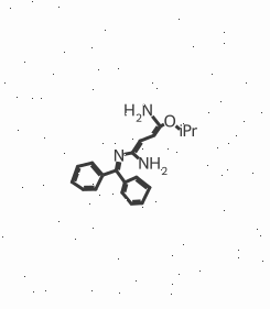 CC(C)O/C(N)=C/C=C(\N)N=C(c1ccccc1)c1ccccc1